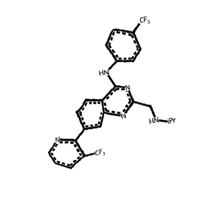 CC(C)NCc1nc(Nc2ccc(C(F)(F)F)cc2)c2ccc(-c3ncccc3C(F)(F)F)cc2n1